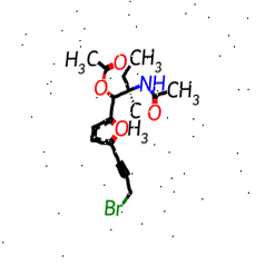 CC[C@@](C)(NC(C)=O)C(OC(C)=O)c1ccc(C#CCBr)o1